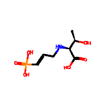 C[C@@H](O)[C@H](NCC=CP(=O)(O)O)C(=O)O